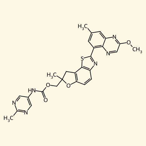 COc1cnc2c(-c3nc4ccc5c(c4s3)CC(C)(COC(=O)Nc3cnc(C)nc3)O5)cc(C)cc2n1